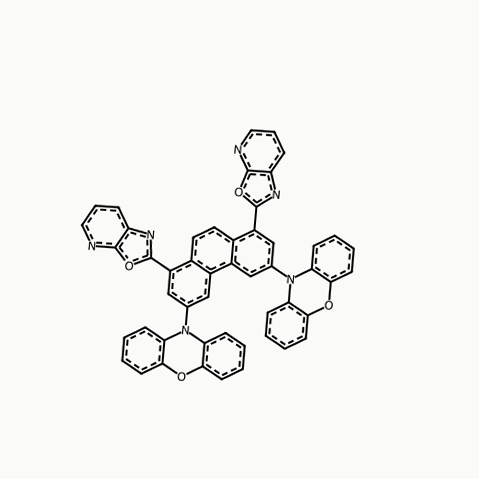 c1ccc2c(c1)Oc1ccccc1N2c1cc(-c2nc3cccnc3o2)c2ccc3c(-c4nc5cccnc5o4)cc(N4c5ccccc5Oc5ccccc54)cc3c2c1